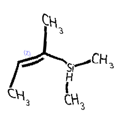 C/C=C(/C)[SiH](C)C